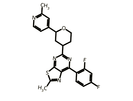 Cc1cc(C2CC(c3nc(-c4ccc(F)cc4F)c4nc(C)sc4n3)CCO2)ccn1